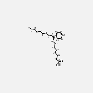 CCCCCCCC/C=C\CCCCCCCC(=O)O.c1ccccc1